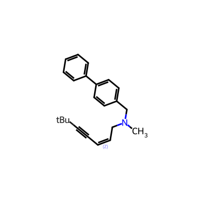 CN(C/C=C\C#CC(C)(C)C)Cc1ccc(-c2ccccc2)cc1